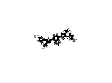 CC1(C)Oc2cc(Br)sc2-c2sc(-c3ccc(-c4cc5c(s4)-c4sc(Br)cc4OC5(C)C)c4nsnc34)cc21